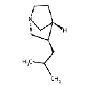 CC(C)C[C@H]1C[N@]2CC[C@H]1C2